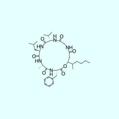 CCCCC(C)C1CC(=O)NCC(=O)N[C@@H](C(C)C)C(=O)N[C@H](CC(C)C)C(=O)N[C@@H](C)C(=O)N[C@@H](Cc2ccccc2)C(=O)O1